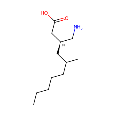 CCCCCC(C)C[C@H](CN)CC(=O)O